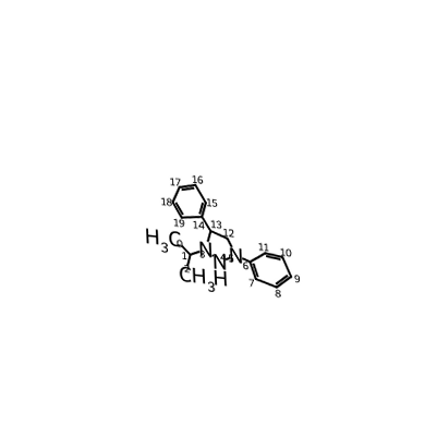 CC(C)N1NN(c2ccccc2)CC1c1ccccc1